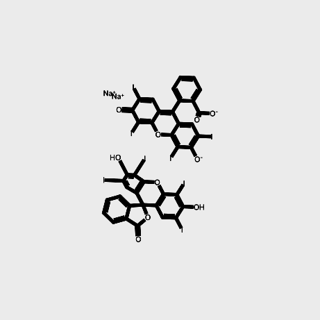 O=C([O-])c1ccccc1-c1c2cc(I)c(=O)c(I)c-2oc2c(I)c([O-])c(I)cc12.O=C1OC2(c3ccccc31)c1cc(I)c(O)c(I)c1Oc1c2cc(I)c(O)c1I.[Na+].[Na+]